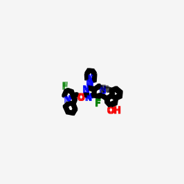 CCc1cccc2cc(O)cc(-c3ncc4c(N5CC6CCC(C5)N6)nc(OCC56CC(F)CN5C5CCCCC5C6)nc4c3F)c12